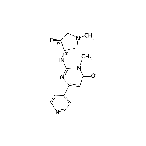 CN1C[C@H](Nc2nc(-c3ccncc3)cc(=O)n2C)[C@@H](F)C1